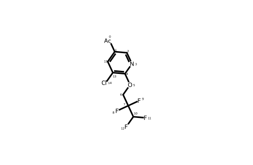 CC(=O)c1cnc(OCC(F)(F)C(F)F)c(Cl)c1